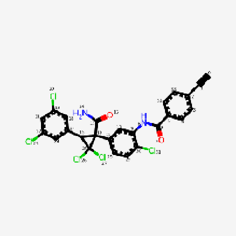 C#Cc1ccc(C(=O)Nc2cc(C3(C(N)=O)C(c4cc(Cl)cc(Cl)c4)C3(Cl)Cl)ccc2Cl)cc1